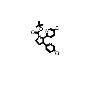 CC(C)(C)OC(=O)N1CCC(c2ccc(Cl)cn2)C1c1ccc(Cl)cn1